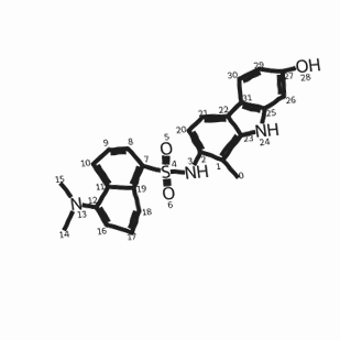 Cc1c(NS(=O)(=O)c2cccc3c(N(C)C)cccc23)ccc2c1[nH]c1cc(O)ccc12